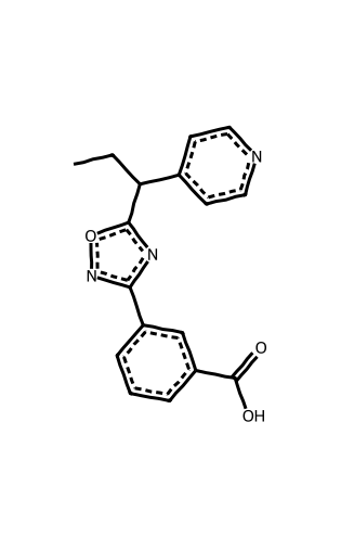 CCC(c1ccncc1)c1nc(-c2cccc(C(=O)O)c2)no1